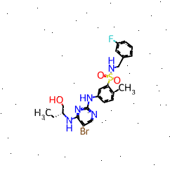 CC[C@H](CO)Nc1nc(Nc2ccc(C)c(S(=O)(=O)NCc3cccc(F)c3)c2)ncc1Br